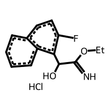 CCOC(=N)C(O)c1c(F)ccc2ccccc12.Cl